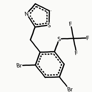 FC(F)(F)Sc1cc(Br)cc(Br)c1Cc1nc[c]s1